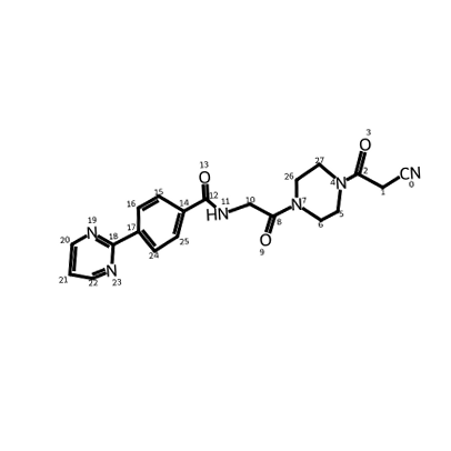 N#CCC(=O)N1CCN(C(=O)CNC(=O)c2ccc(-c3ncccn3)cc2)CC1